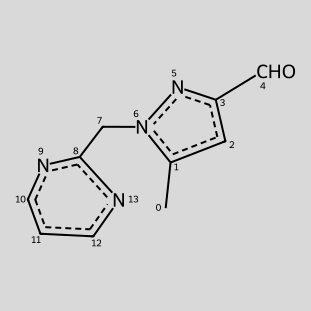 Cc1cc(C=O)nn1Cc1ncccn1